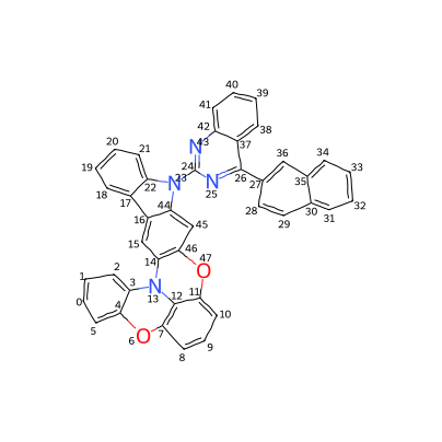 c1ccc2c(c1)Oc1cccc3c1N2c1cc2c4ccccc4n(-c4nc(-c5ccc6ccccc6c5)c5ccccc5n4)c2cc1O3